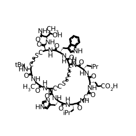 CC(C)C[C@@H]1NC(=O)[C@H](Cc2c[nH]cn2)NC(=O)[C@@H]2CCSSCC[C@H](NC(=O)[C@H](CC(C)C)NC(=O)[C@H](CCC(=O)O)NC(=O)CNC1=O)C(=O)N[C@@H](Cc1c[nH]c3ccccc13)C(=O)N[C@H](C(=O)N[C@H](C(N)=O)[C@@H](C)O)CSSC[C@H](NC(C)(C)C)C(=O)N[C@@H](C)C(=O)N2